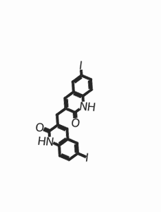 O=c1[nH]c2ccc(I)cc2cc1Cc1cc2cc(I)ccc2[nH]c1=O